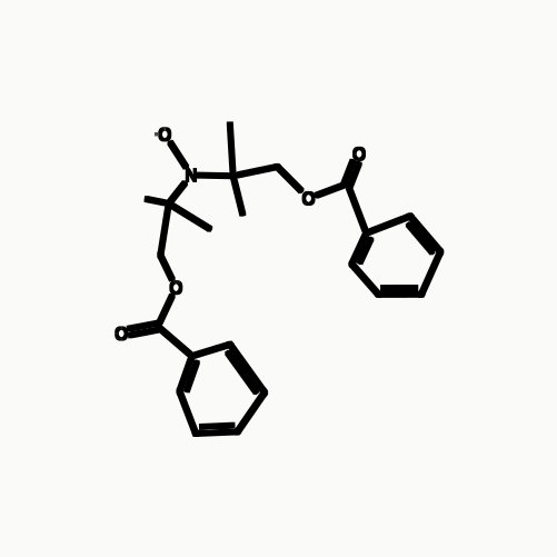 CC(C)(COC(=O)c1ccccc1)N([O])C(C)(C)COC(=O)c1ccccc1